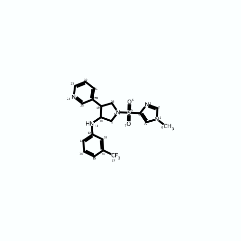 Cn1cnc(S(=O)(=O)N2CC(Nc3cccc(C(F)(F)F)c3)C(c3cccnc3)C2)c1